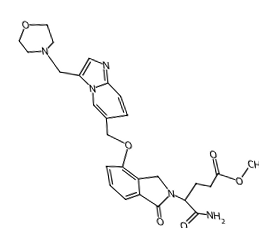 COC(=O)CCC(C(N)=O)N1Cc2c(OCc3ccc4ncc(CN5CCOCC5)n4c3)cccc2C1=O